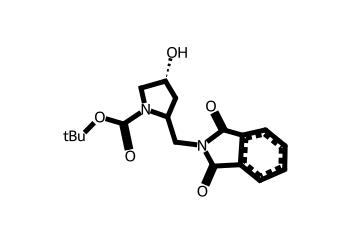 CC(C)(C)OC(=O)N1C[C@H](O)CC1CN1C(=O)c2ccccc2C1=O